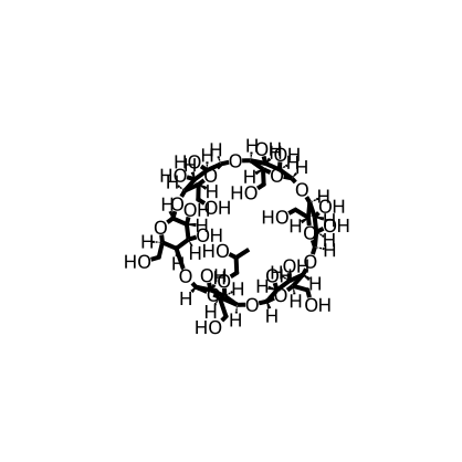 CC(O)CO[C@@H]1[C@@H](O)[C@H]2O[C@H]3[C@H](O)[C@@H](O)[C@@H](O[C@H]4[C@H](O)[C@@H](O)[C@@H](O[C@H]5[C@H](O)[C@@H](O)[C@@H](O[C@H]6[C@H](O)[C@@H](O)[C@@H](O[C@H]7[C@H](O)[C@@H](O)[C@@H](O[C@H]1[C@@H](CO)O2)O[C@@H]7CO)O[C@@H]6CO)O[C@@H]5CO)O[C@@H]4CO)O[C@@H]3CO